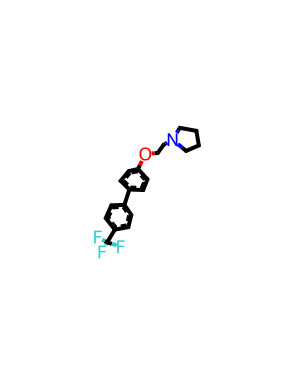 FC(F)(F)c1ccc(-c2ccc(OCCN3CCCC3)cc2)cc1